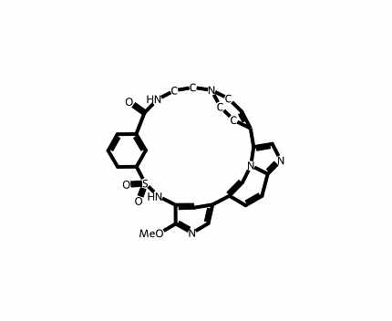 COc1ncc2cc1NS(=O)(=O)C1C=C(C=CC1)C(=O)NCCN1CC=C(CC1)c1cnc3ccc-2cn13